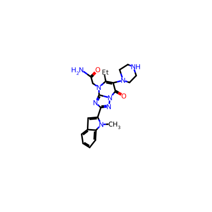 CCc1c(N2CCNCC2)c(=O)n2nc(-c3cc4ccccc4n3C)nc2n1CC(N)=O